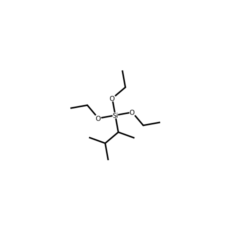 CCO[Si](OCC)(OCC)C(C)C(C)C